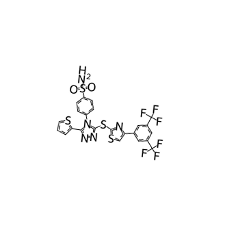 NS(=O)(=O)c1ccc(-n2c(Sc3nc(-c4cc(C(F)(F)F)cc(C(F)(F)F)c4)cs3)nnc2-c2cccs2)cc1